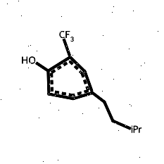 CC(C)CCc1ccc(O)c(C(F)(F)F)c1